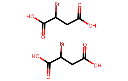 O=C(O)CC(Br)C(=O)O.O=C(O)CC(Br)C(=O)O